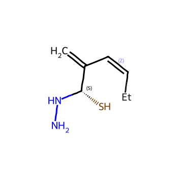 C=C(/C=C\CC)[C@H](S)NN